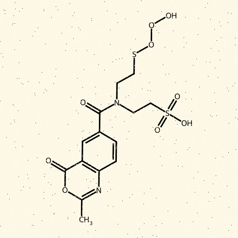 Cc1nc2ccc(C(=O)N(CCSOOO)CCS(=O)(=O)O)cc2c(=O)o1